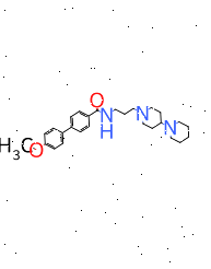 COc1ccc(-c2ccc(C(=O)NCCCN3CCC(N4CCCCC4)CC3)cc2)cc1